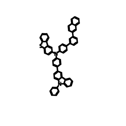 c1ccc(-n2c3ccccc3c3cc(-c4ccc(N(c5ccc(-c6cccc(-c7ccc8ccccc8c7)c6)cc5)c5ccc6sc7ccccc7c6c5)cc4)ccc32)cc1